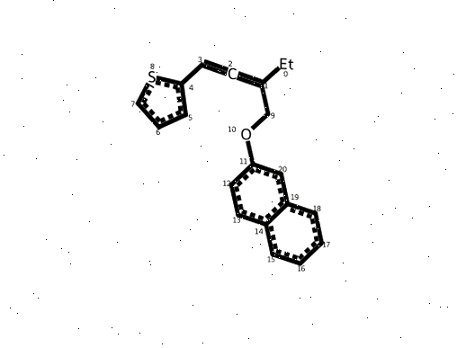 CCC(=C=Cc1cccs1)COc1ccc2ccccc2c1